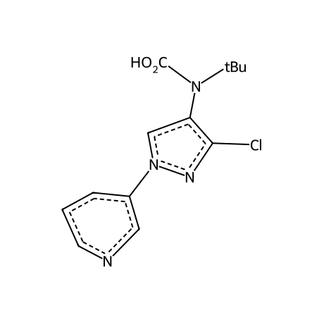 CC(C)(C)N(C(=O)O)c1cn(-c2cccnc2)nc1Cl